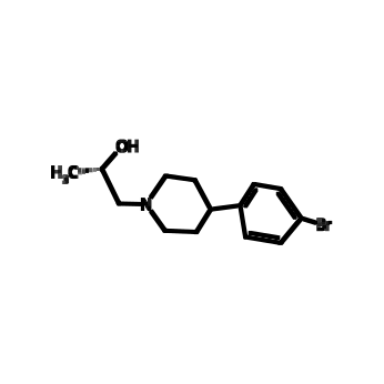 C[C@H](O)CN1CCC(c2ccc(Br)cc2)CC1